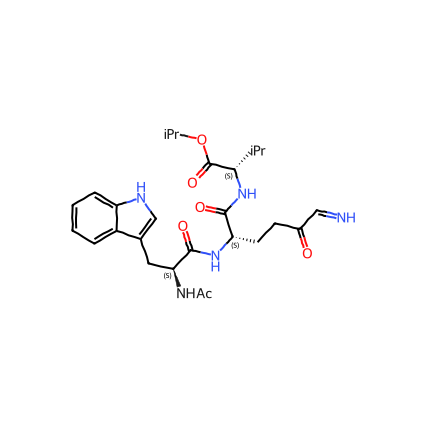 CC(=O)N[C@@H](Cc1c[nH]c2ccccc12)C(=O)N[C@@H](CCC(=O)C=N)C(=O)N[C@H](C(=O)OC(C)C)C(C)C